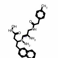 Cc1ccc(CC(=O)NC/C(N)=C/N(N)C(CC(=O)NO)Cc2ccc3ccccc3c2)cc1